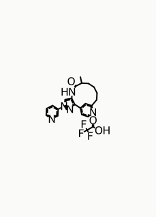 CC1CCCCc2cc(ccn2)-c2nn(-c3cccnc3)cc2NC1=O.O=C(O)C(F)(F)F